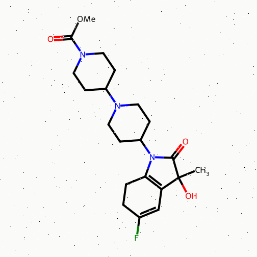 COC(=O)N1CCC(N2CCC(N3C(=O)C(C)(O)C4=C3CCC(F)=C4)CC2)CC1